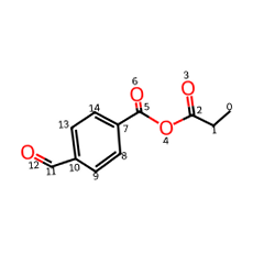 CCC(=O)OC(=O)c1ccc(C=O)cc1